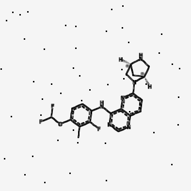 Cc1c(OC(F)F)ccc(Nc2ncnc3ccc(N4C[C@@H]5C[C@H]4CN5)nc23)c1F